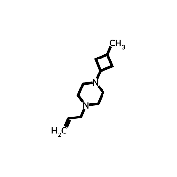 C=CCN1CCN(C2CC(C)C2)CC1